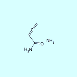 C=C=CC(N)=O.N